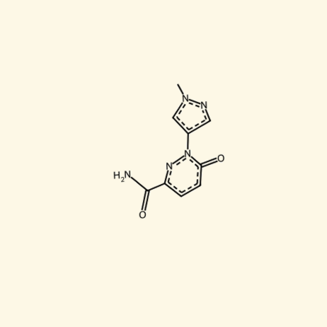 Cn1cc(-n2nc(C(N)=O)ccc2=O)cn1